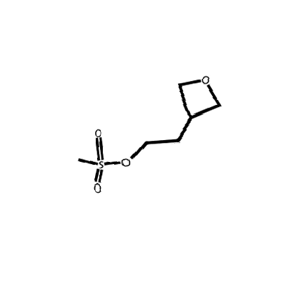 CS(=O)(=O)OCCC1COC1